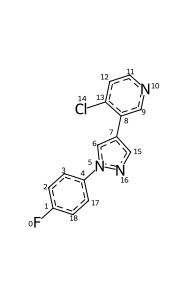 Fc1ccc(-n2cc(-c3cnccc3Cl)cn2)cc1